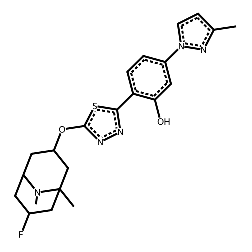 Cc1ccn(-c2ccc(-c3nnc(OC4CC5CC(F)CC(C)(C4)N5C)s3)c(O)c2)n1